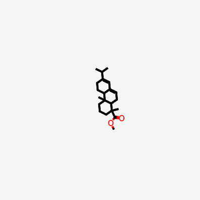 COC(=O)C1(C)CCCC2(C)C3CCC(C(C)C)=CC3=CCC12